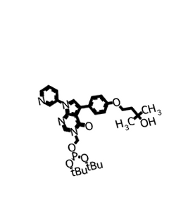 CC(C)(O)CCOc1ccc(-c2cn(-c3cccnc3)c3ncn(COP(OC(C)(C)C)OC(C)(C)C)c(=O)c23)cc1